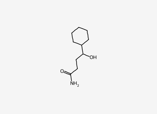 NC(=O)CCC(O)C1CCCCC1